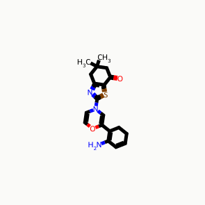 CC1(C)CC(=O)c2sc(N3C=COC(C4=C(N)C=CCC4)=C3)nc2C1